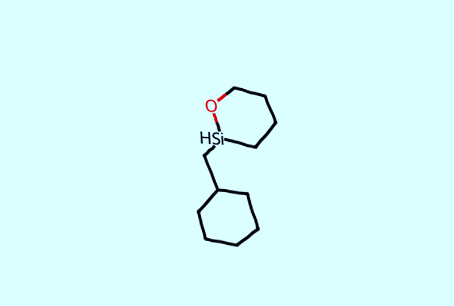 C1CCC(C[SiH]2CCCCO2)CC1